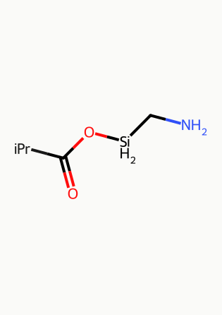 CC(C)C(=O)O[SiH2]CN